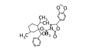 CC1CCC(C(C)C)C(OC(=O)N2CC(c3ccc4c(c3)OCO4)OC2=O)([C@@H](C)c2ccccc2)C1